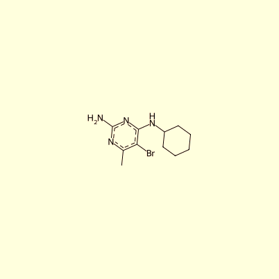 Cc1nc(N)nc(NC2CCCCC2)c1Br